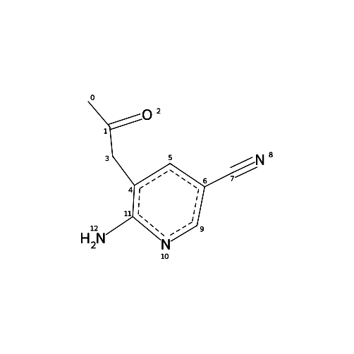 CC(=O)Cc1cc(C#N)cnc1N